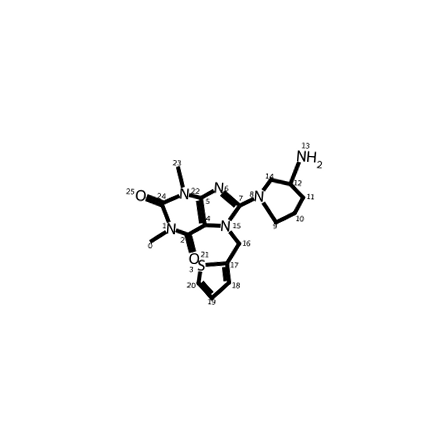 Cn1c(=O)c2c(nc(N3CCCC(N)C3)n2Cc2cccs2)n(C)c1=O